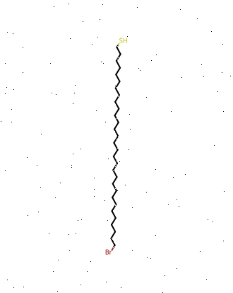 SCCCCCCCCCCCCCCCCCCCCCCCCCCCCCCBr